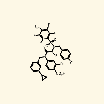 Cc1c(F)c(F)c(S(=O)(=O)N(Cc2ccc(Cl)cc2)[C@H](C(=O)N(Cc2cccc(C3CC3)c2)c2ccc(C(=O)O)c(O)c2)C(C)C)c(F)c1F